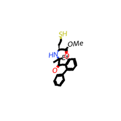 CCC(C)(N[C@@H](CCS)C(=O)OC)C(=O)c1ccccc1-c1ccccc1